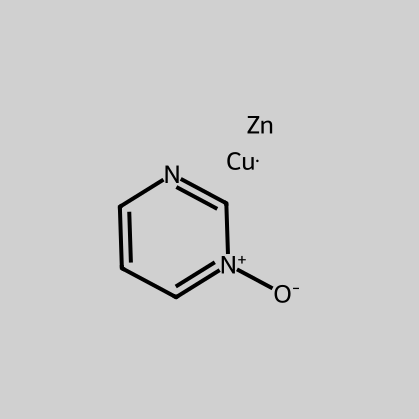 [Cu].[O-][n+]1cccnc1.[Zn]